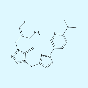 CN(C)c1ccc(-c2ccc(Cn3cnn(C/C(=C/F)CN)c3=O)s2)cn1